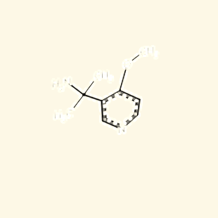 COc1ccncc1C(C)(C)N